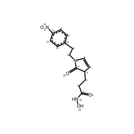 O=C(CCC1C=CN(CCc2ccc([N+](=O)[O-])cc2)C1=O)NO